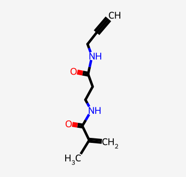 C#CCNC(=O)CCNC(=O)C(=C)C